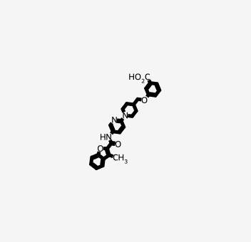 Cc1c(C(=O)Nc2ccc(N3CCC(COc4cccc(C(=O)O)c4)CC3)nc2)oc2ccccc12